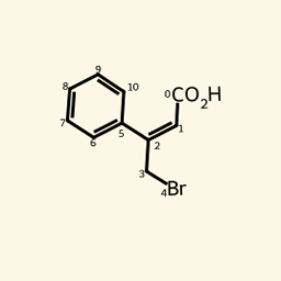 O=C(O)/C=C(/CBr)c1ccccc1